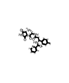 Cc1ccc(C(CC(=O)N[C@@H](C(=O)[C@@H]2C(=O)NC(=O)[C@@H]2C)C(C)C)NC(=O)c2ccccn2)cc1